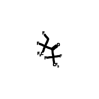 O=C(C(F)(F)C(F)(F)F)C(F)(CF)C(F)(F)F